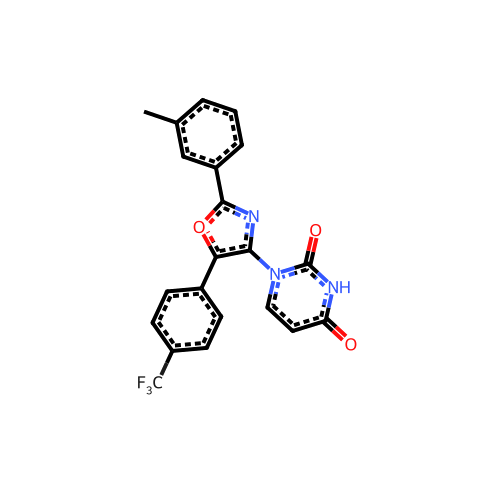 Cc1cccc(-c2nc(-n3ccc(=O)[nH]c3=O)c(-c3ccc(C(F)(F)F)cc3)o2)c1